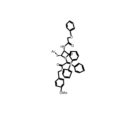 COc1ccc(COC(=O)C(N2C(=O)[C@H](NC(=O)COc3ccccc3)[C@@H]2SC(C)=O)=P(c2ccccc2)(c2ccccc2)c2ccccc2)cc1